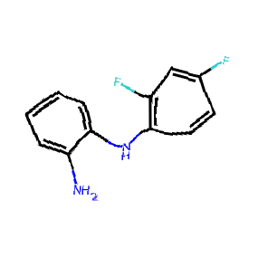 Nc1ccccc1Nc1ccc(F)cc1F